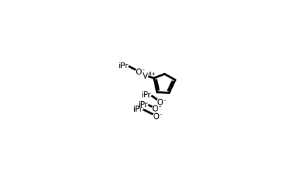 CC(C)[O-].CC(C)[O-].CC(C)[O-].CC(C)[O-].[V+4][C]1=CC=CC1